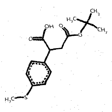 CSc1ccc(C(CC(=O)OC(C)(C)C)C(=O)O)cc1